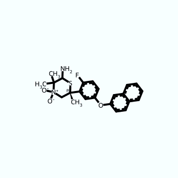 CC1(C)C(N)S[C@](C)(c2cc(Oc3ccc4ccccc4c3)ccc2F)C[N+]1([O-])[O-]